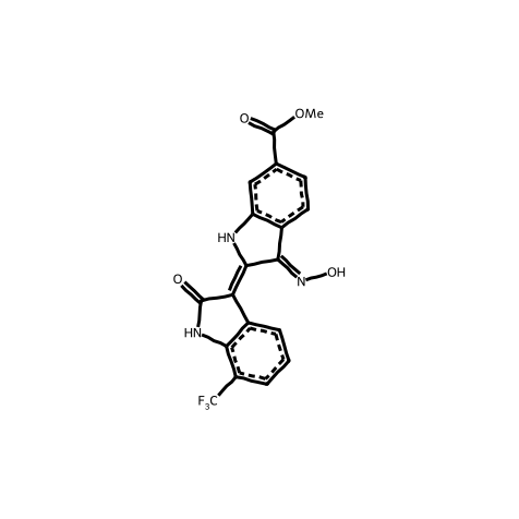 COC(=O)c1ccc2c(c1)NC(=C1\C(=O)Nc3c1cccc3C(F)(F)F)/C2=N/O